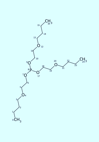 CCCCOCCOP(OCCOCCCC)OCCOCCCC